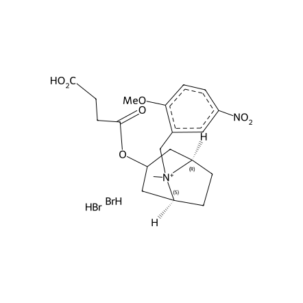 Br.Br.COc1ccc([N+](=O)[O-])cc1C[N+]1(C)[C@@H]2CC[C@H]1CC(OC(=O)CCC(=O)O)C2